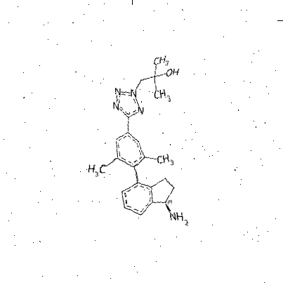 Cc1cc(-c2nnn(CC(C)(C)O)n2)cc(C)c1-c1cccc2c1CC[C@H]2N